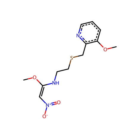 CO/C(=C/[N+](=O)[O-])NCCSCc1ncccc1OC